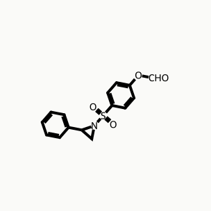 O=COc1ccc(S(=O)(=O)N2CC2c2ccccc2)cc1